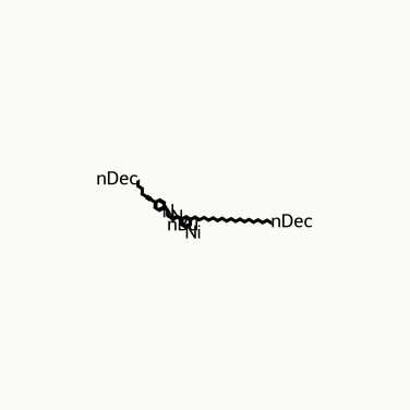 CCCCCCCCCCCCCCC#Cc1ccc(N=CC(CCCC)=Nc2cccc(C=CCCCCCCCCCCCCCCCCCCCCCCCCCC)c2)cc1.[Ni]